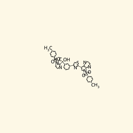 Cc1ccc(S(=O)(=O)n2ccnc2C(C)(O)c2cccc(-c3csc(-c4cn(S(=O)(=O)c5ccc(C)cc5)c5nccnc45)n3)c2)cc1